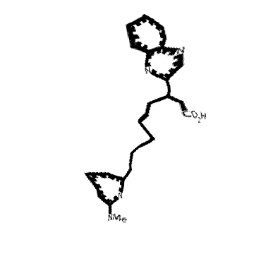 CNc1cccc(CCCCCCC(CC(=O)O)c2cnc3ccccc3n2)n1